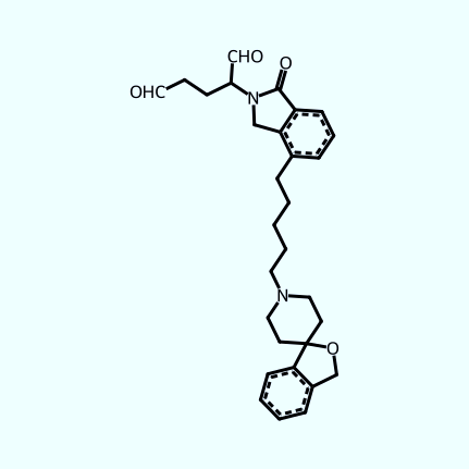 O=CCCC(C=O)N1Cc2c(CCCCCN3CCC4(CC3)OCc3ccccc34)cccc2C1=O